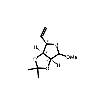 C=C[C@H]1OC(OC)[C@H]2OC(C)(C)O[C@H]21